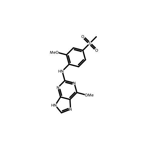 COc1cc(S(C)(=O)=O)ccc1Nc1nc(OC)c2nc[nH]c2n1